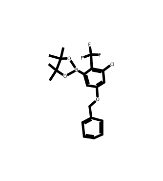 CC1(C)OB(c2cc(OCc3ccccc3)cc(Cl)c2C(F)(F)F)OC1(C)C